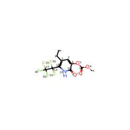 CCc1cc(OC(=O)OC)c(=O)[nH]c1C(F)(F)C(F)(F)F